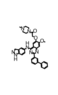 COc1cc2nc(-c3cccc(-c4ccccc4)c3)nc(Nc3ccc4[nH]ncc4c3)c2cc1OCC(=O)N1CCN(C)CC1